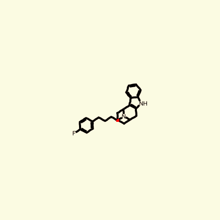 Fc1ccc(CCCCN2C3CCCC2c2c([nH]c4ccccc24)C3)cc1